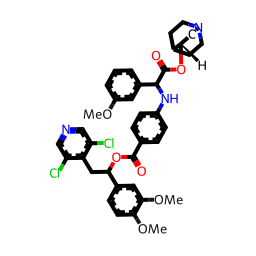 COc1cccc(C(Nc2ccc(C(=O)OC(Cc3c(Cl)cncc3Cl)c3ccc(OC)c(OC)c3)cc2)C(=O)O[C@H]2CN3CCC2CC3)c1